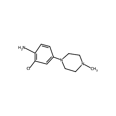 CN1CCN(c2ccc(N)c(Cl)c2)CC1